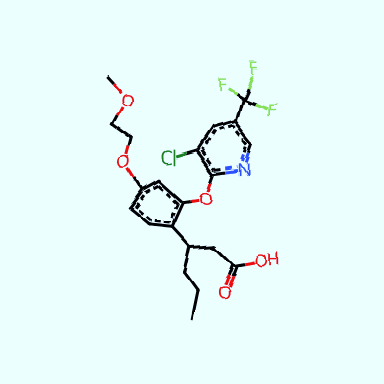 CCCC(CC(=O)O)c1ccc(OCCOC)cc1Oc1ncc(C(F)(F)F)cc1Cl